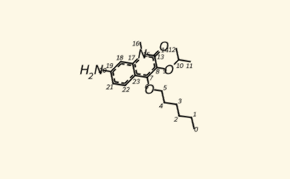 CCCCCCOc1c(OC(C)C)c(=O)n(C)c2cc(N)ccc12